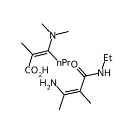 CCC/C(=C(/C)C(=O)O)N(C)C.CCNC(=O)/C(C)=C(/C)N